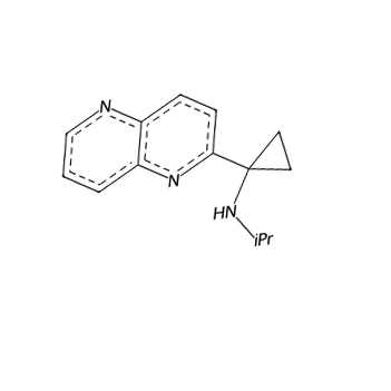 CC(C)NC1(c2ccc3ncccc3n2)CC1